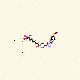 C#COc1ccc2nc(NC(=O)CN3CCN(C(=O)CCCCCCC(=O)N(O)OOC)CC3)sc2c1